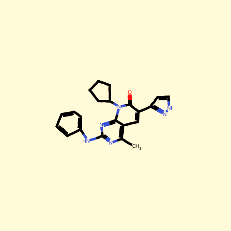 Cc1nc(Nc2ccccc2)nc2c1cc(-c1cc[nH]n1)c(=O)n2C1CCCC1